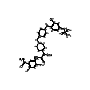 CCCCN(C(=O)Nc1cc(C(N)=O)c(F)cc1F)C1CCN(Cc2ccc(Oc3ccc(NS(C)(=O)=O)cc3Cl)cc2)CC1